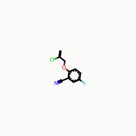 C=C(Cl)COc1c[c]c(F)cc1C#N